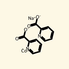 O=C([O-])c1ccccn1.O=C([O-])c1ccccn1.[Co+2].[Na+]